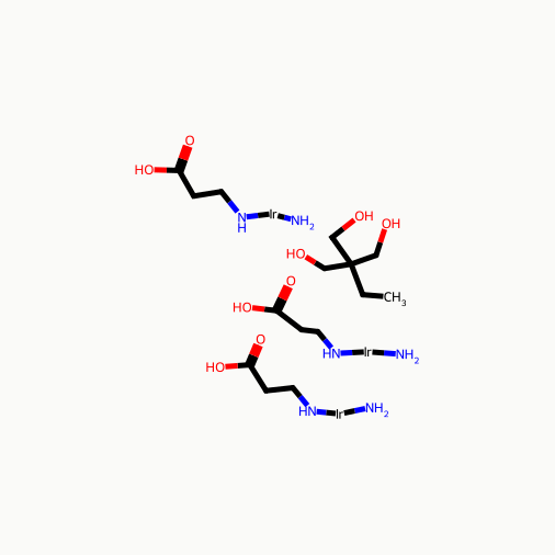 CCC(CO)(CO)CO.[NH2][Ir][NH]CCC(=O)O.[NH2][Ir][NH]CCC(=O)O.[NH2][Ir][NH]CCC(=O)O